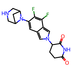 O=C1CCC(n2cc3cc(N4C5CNCC4C5)c(F)c(F)c3c2)C(=O)N1